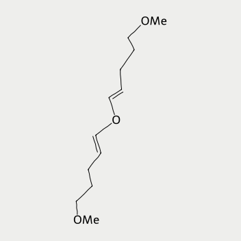 COCCCC=COC=CCCCOC